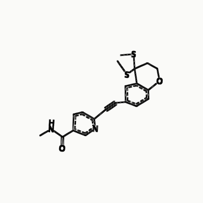 CNC(=O)c1ccc(C#Cc2ccc3c(c2)C(SC)(SC)CCO3)nc1